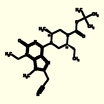 CC[C@@H]1CN(c2nc(=O)n(CC)c3c2nc(CC#N)n3C)[C@@H](C)CN1C(=O)OC(C)(C)C